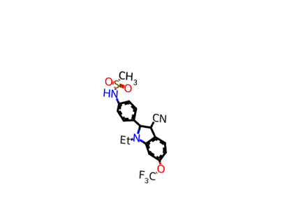 CCN1c2cc(OC(F)(F)F)ccc2C(C#N)C1c1ccc(NS(C)(=O)=O)cc1